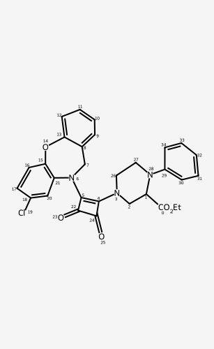 CCOC(=O)C1CN(c2c(N3Cc4ccccc4Oc4ccc(Cl)cc43)c(=O)c2=O)CCN1c1ccccc1